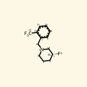 F[C@@H]1CCCN(Cc2ccccc2C(F)(F)F)C1